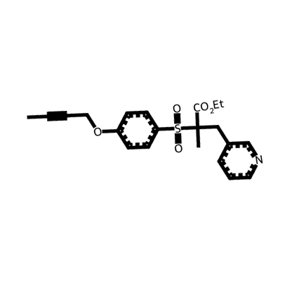 CC#CCOc1ccc(S(=O)(=O)C(C)(Cc2cccnc2)C(=O)OCC)cc1